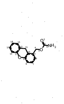 NC(=O)OCc1cccc2c1Cc1ccccc1O2